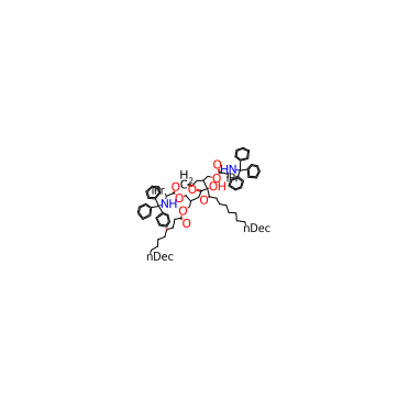 C=CCC(COC(=O)[C@@H](NC(c1ccccc1)(c1ccccc1)c1ccccc1)C(C)C)C(O)(C(=O)CCCCCCCCCCCCCCCCC)C(=O)CC(COC(=O)CCCCCCCCCCCCCCCCC)COC(=O)[C@@H](NC(c1ccccc1)(c1ccccc1)c1ccccc1)C(C)C